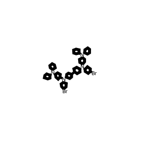 Brc1ccc(N(c2ccc(-c3ccc(N(c4ccc(Br)cc4)c4ccc(N(c5ccccc5)c5ccccc5)cc4)cc3)cc2)c2ccc(N(c3ccccc3)c3ccccc3)cc2)cc1